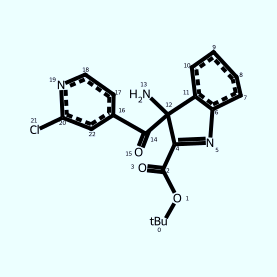 CC(C)(C)OC(=O)C1=Nc2ccccc2C1(N)C(=O)c1ccnc(Cl)c1